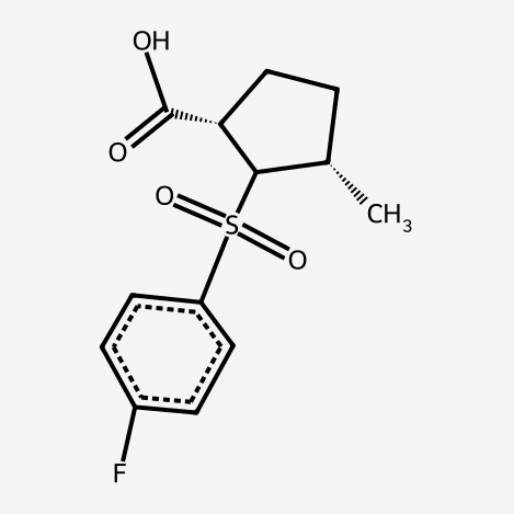 C[C@H]1CC[C@@H](C(=O)O)C1S(=O)(=O)c1ccc(F)cc1